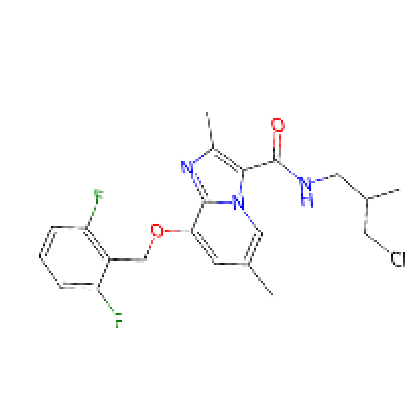 Cc1cc(OCc2c(F)cccc2F)c2nc(C)c(C(=O)NCC(C)CC(F)(F)F)n2c1